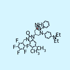 CCN(CC)c1ccc(N(CC(CC(N)=O)n2c(=O)n(Cc3c(F)c(F)c(F)c(F)c3F)c3cc(C)c(C)cc32)C(=O)c2ccccc2)cc1